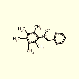 Cc1c(C)c(C)c([N+]([O-])=Cc2ccccc2)c(C)c1C